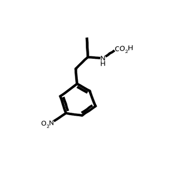 CC(Cc1cccc([N+](=O)[O-])c1)NC(=O)O